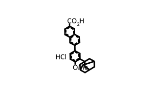 COc1ccc(-c2ccc3cc(C(=O)O)ccc3c2)cc1C12CC3CC(CC(C3)C1)C2.Cl